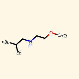 CCCCC(CC)CNCCOC=O